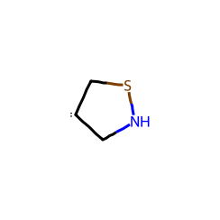 [C]1CNSC1